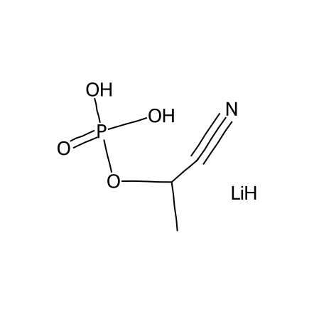 CC(C#N)OP(=O)(O)O.[LiH]